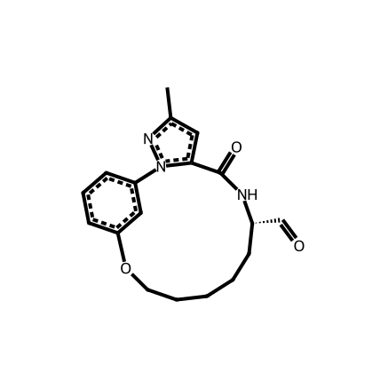 Cc1cc2n(n1)-c1cccc(c1)OCCCCC[C@@H](C=O)NC2=O